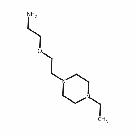 CCN1CCN(CCOCCN)CC1